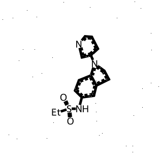 CCS(=O)(=O)Nc1ccc2c(ccn2-c2cccnc2)c1